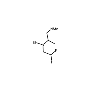 CCN(CC(F)F)C(C)CNC